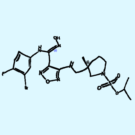 CC(C)OS(=O)(=O)N1CC[C@@](C)(CNc2nonc2/C(=N/O)Nc2ccc(F)c(Br)c2)C1